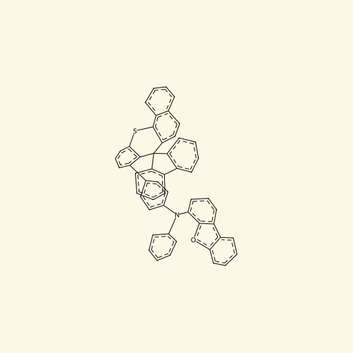 c1ccc(N(c2ccc(-c3cccc4c3C3(c5ccccc5-c5ccccc53)c3ccc5ccccc5c3S4)cc2)c2cccc3c2oc2ccccc23)cc1